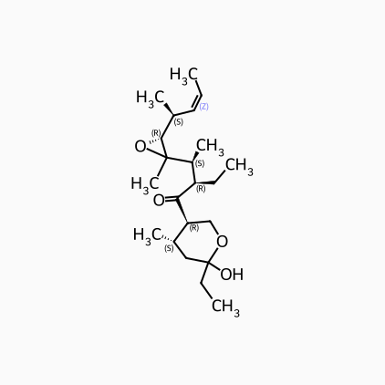 C/C=C\[C@H](C)[C@H]1OC1(C)[C@@H](C)[C@@H](CC)C(=O)[C@H]1COC(O)(CC)C[C@@H]1C